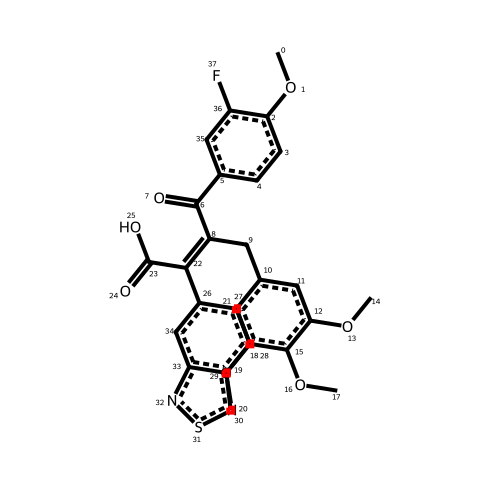 COc1ccc(C(=O)/C(Cc2cc(OC)c(OC)c(OC)c2)=C(\C(=O)O)c2ccc3nsnc3c2)cc1F